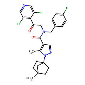 O=C(CN(Cc1ccc(F)cc1)C(=O)c1cnn(C23CCC(C(=O)O)(CC2)C3)c1C(F)(F)F)c1c(Cl)cncc1Cl